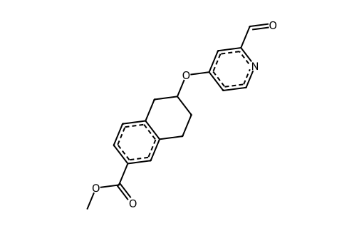 COC(=O)c1ccc2c(c1)CCC(Oc1ccnc(C=O)c1)C2